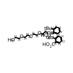 CC(C)(C)c1ccccc1C(=O)O.CC(C)(C)c1ccccc1C(=O)O.OCCOCCOCCOCCO